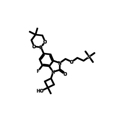 CC1(C)COB(c2cc(F)c3c(c2)n(COCC[Si](C)(C)C)c(=O)n3C2CC(C)(O)C2)OC1